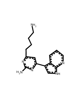 NCCCCc1cc(-c2c[nH]c3ncccc23)nc(N)n1